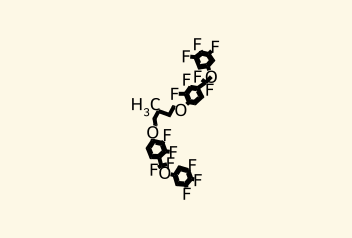 CC(CCOc1ccc(C(F)(F)Oc2cc(F)c(F)c(F)c2)c(F)c1F)CCOc1ccc(C(F)(F)Oc2cc(F)c(F)c(F)c2)c(F)c1F